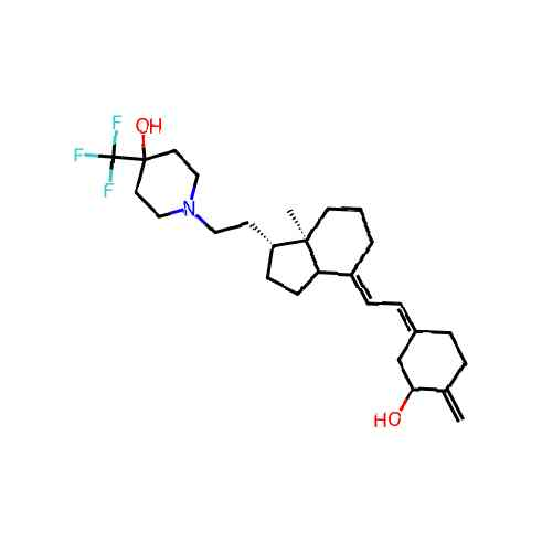 C=C1CC/C(=C/C=C2\CCC[C@@]3(C)C2CC[C@@H]3CCN2CCC(O)(C(F)(F)F)CC2)CC1O